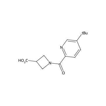 CC(C)(C)c1ccc(C(=O)N2CC(C(=O)O)C2)nc1